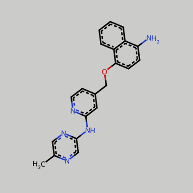 Cc1cnc(Nc2cc(COc3ccc(N)c4ccccc34)ccn2)cn1